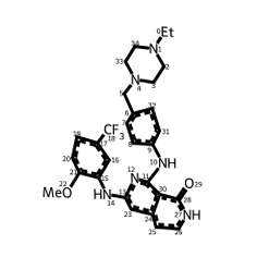 CCN1CCN(Cc2ccc(Nc3nc(Nc4cc(C(F)(F)F)ccc4OC)cc4cc[nH]c(=O)c34)cc2)CC1